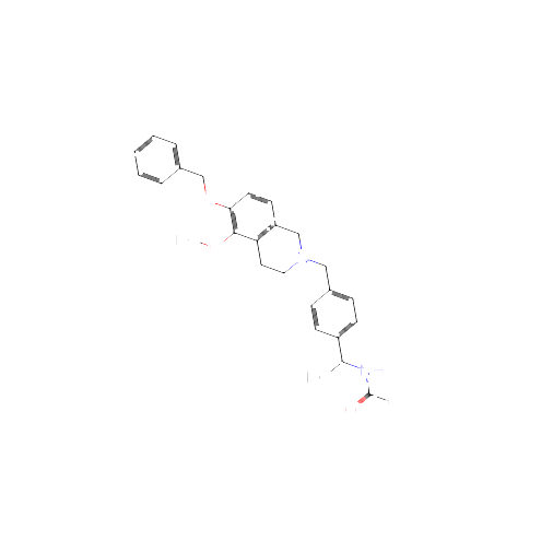 COc1c(OCc2ccccc2)ccc2c1CCN(Cc1ccc(C(C)NC(C)=O)cc1)C2